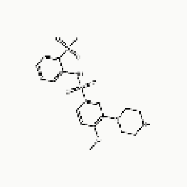 COc1ccc(S(=O)(=O)Nc2ccccc2S(C)(=O)=O)cc1N1CCNCC1